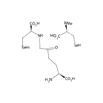 CN[C@@H](C[SeH])C(=O)O.N[C@@H](CCC(=O)CN[C@@H](C[SeH])C(=O)O)C(=O)O